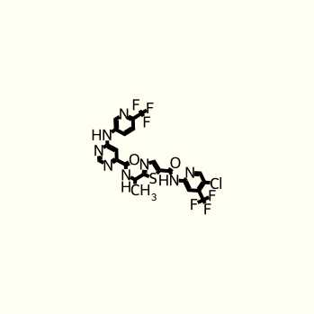 CC(NC(=O)c1cc(Nc2ccc(C(F)(F)F)nc2)ncn1)c1ncc(C(=O)Nc2cc(C(F)(F)F)c(Cl)cn2)s1